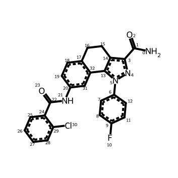 NC(=O)c1nn(-c2ccc(F)cc2)c2c1CCc1ccc(NC(=O)c3ccccc3Cl)cc1-2